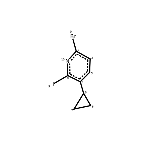 Brc1ccc(C2CC2)c(I)n1